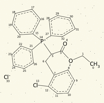 CCOC(=O)[C](Cc1ccccc1Cl)[P+](c1ccccc1)(c1ccccc1)c1ccccc1.[Cl-]